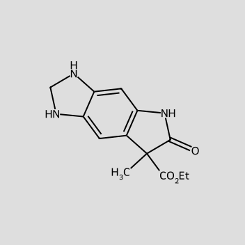 CCOC(=O)C1(C)C(=O)Nc2cc3c(cc21)NCN3